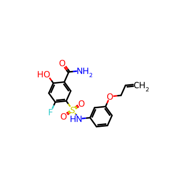 C=CCOc1cccc(NS(=O)(=O)c2cc(C(N)=O)c(O)cc2F)c1